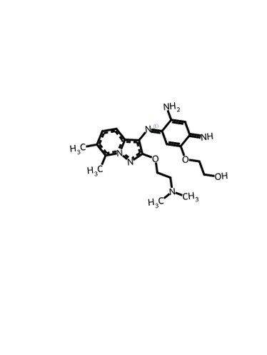 Cc1ccc2c(/N=C3\C=C(OCCO)C(=N)C=C3N)c(OCCN(C)C)nn2c1C